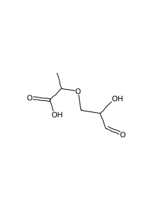 CC(OCC(O)C=O)C(=O)O